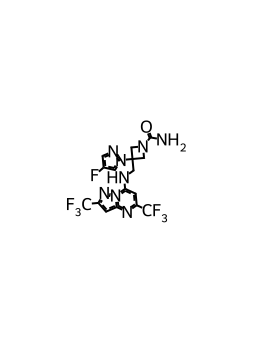 NC(=O)N1CC(CNc2cc(C(F)(F)F)nc3cc(C(F)(F)F)nn23)(n2cc(F)cn2)C1